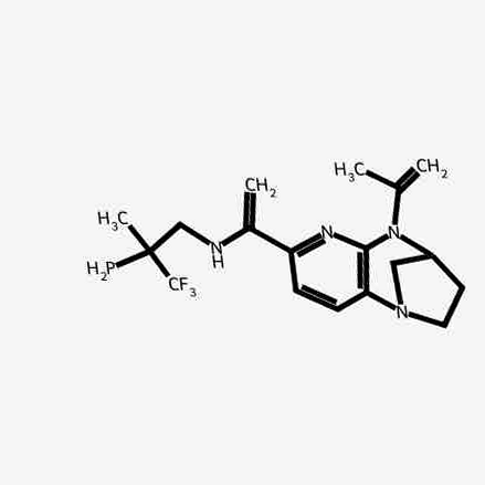 C=C(NCC(C)(P)C(F)(F)F)c1ccc2c(n1)N(C(=C)C)C1CCN2C1